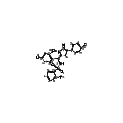 O=S(=O)(N[C@H](C1=NNC(c2ccc(Cl)cc2)C1)c1ccc(Cl)cc1Cl)c1ccccc1F